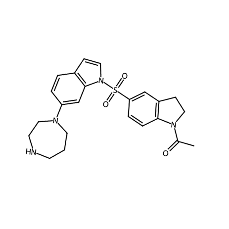 CC(=O)N1CCc2cc(S(=O)(=O)n3ccc4ccc(N5CCCNCC5)cc43)ccc21